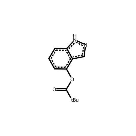 CC(C)(C)C(=O)Oc1cccc2[nH]ncc12